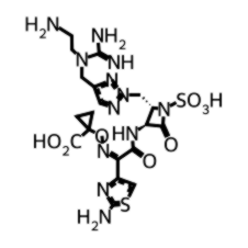 N=C(N)N(CCN)Cc1cnn(C[C@H]2[C@H](NC(=O)C(=NOC3(C(=O)O)CC3)c3csc(N)n3)C(=O)N2S(=O)(=O)O)n1